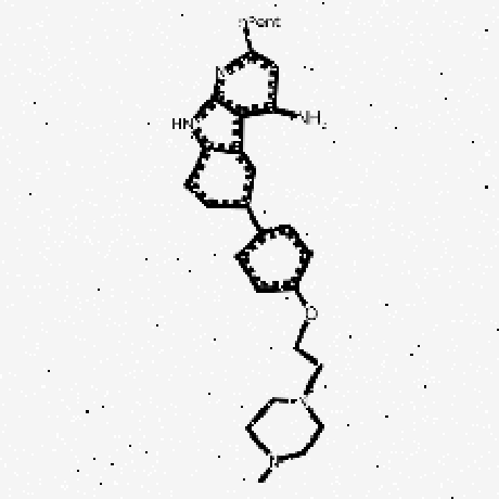 CCCCCc1cc(N)c2c(n1)[nH]c1ccc(-c3ccc(OCCN4CCN(C)CC4)cc3)cc12